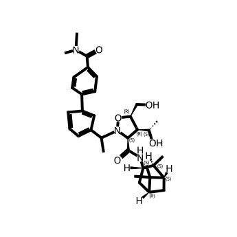 CC(c1cccc(-c2ccc(C(=O)N(C)C)cc2)c1)N1O[C@@H](CO)[C@@H]([C@H](C)O)[C@H]1C(=O)N[C@H]1C[C@H]2C[C@@H]([C@@H]1C)C2(C)C